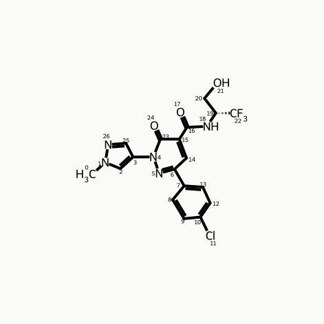 Cn1cc(-n2nc(-c3ccc(Cl)cc3)cc(C(=O)N[C@H](CO)C(F)(F)F)c2=O)cn1